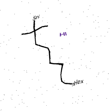 CCCCCCCCCCC[C](C)(C)[Sn].I